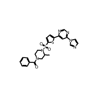 CC1CN(C(=O)c2ccccc2)CCN1S(=O)(=O)c1ccc(-c2cc(-n3ccnc3)ncn2)s1